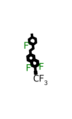 CC1CCC(CCc2ccc3c(F)c(C#CC(F)(F)F)c(F)cc3c2)=C(F)C1